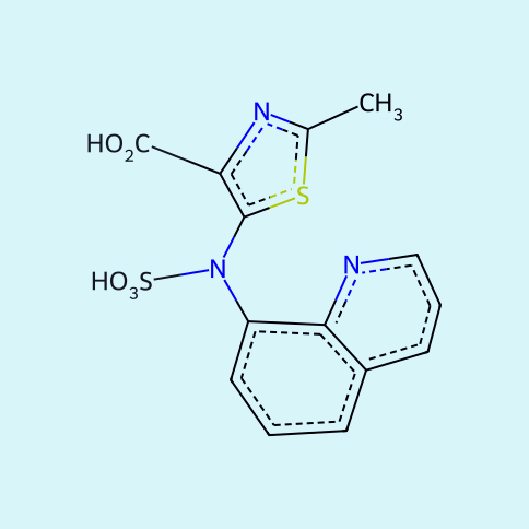 Cc1nc(C(=O)O)c(N(c2cccc3cccnc23)S(=O)(=O)O)s1